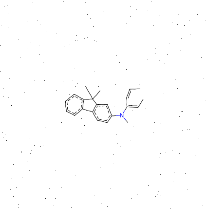 C/C=C\C(=C/C)N(C)c1ccc2c(c1)C(C)(C)c1ccccc1-2